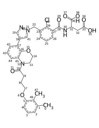 Cc1cccc(OCCCC(=O)N2CCOc3c(-c4cnn(Cc5cccc(C(=O)NC(CC(=O)O)C(=O)O)c5Cl)c4)cccc32)c1C